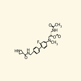 CC(=O)NC[C@@H](CN(C)c1ccc(-c2ccc(CNC(=O)C3CNC3)cc2)c(F)c1)OC=O